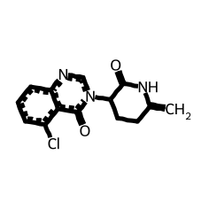 C=C1CCC(n2cnc3cccc(Cl)c3c2=O)C(=O)N1